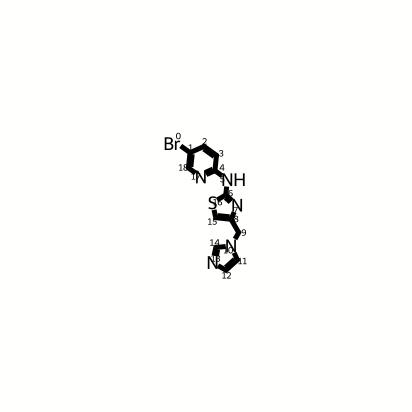 Brc1ccc(Nc2nc(Cn3ccnc3)cs2)nc1